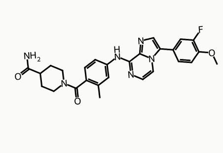 COc1ccc(-c2cnc3c(Nc4ccc(C(=O)N5CCC(C(N)=O)CC5)c(C)c4)nccn23)cc1F